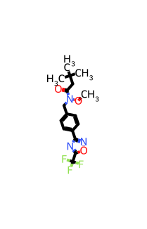 CON(Cc1ccc(-c2noc(C(F)(F)F)n2)cc1)C(=O)CC(C)(C)C